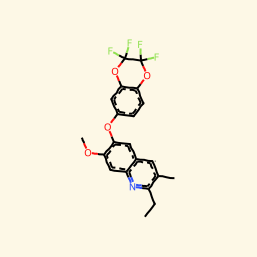 CCc1nc2cc(OC)c(Oc3ccc4c(c3)OC(F)(F)C(F)(F)O4)cc2[c]c1C